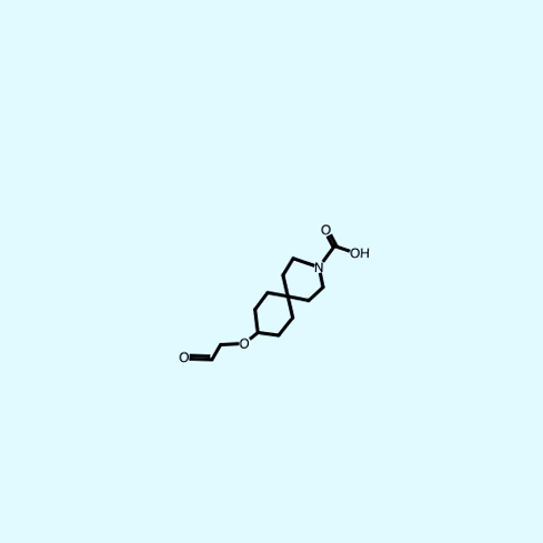 O=CCOC1CCC2(CC1)CCN(C(=O)O)CC2